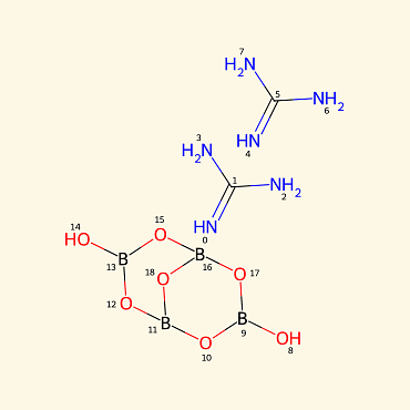 N=C(N)N.N=C(N)N.OB1OB2OB(O)OB(O1)O2